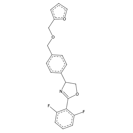 Fc1cccc(F)c1C1=NC(c2ccc(COCc3ccco3)cc2)CO1